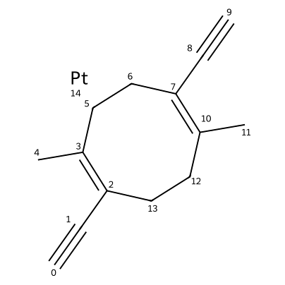 C#CC1=C(C)CCC(C#C)=C(C)CC1.[Pt]